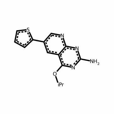 CC(C)Oc1nc(N)nc2ncc(-c3cccs3)cc12